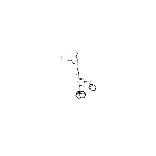 CCCCN(CCCC)CCCNc1nc(NC2CC3CCC2C3)nc(NC23CC4CC(CC(C4)C2)C3)n1